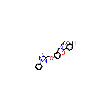 Cc1nn(-c2ccccc2)nc1COc1cccc(CN(CC(=O)O)C(=O)c2ccccc2)c1